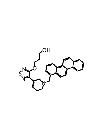 OCCCOc1nsnc1C1=CCCN(Cc2cccc3c2ccc2c4ccccc4ccc32)C1